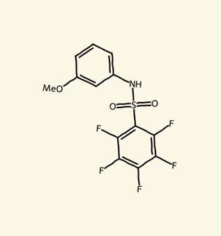 COc1cccc(NS(=O)(=O)c2c(F)c(F)c(F)c(F)c2F)c1